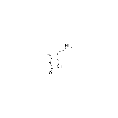 NCCC1CNC(=O)NC1=O